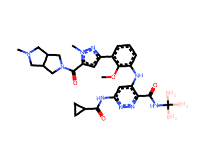 BC(B)(B)NC(=O)c1nnc(NC(=O)C2CC2)cc1Nc1cccc(-c2cc(C(=O)N3CC4CN(C)CC4C3)n(C)n2)c1OC